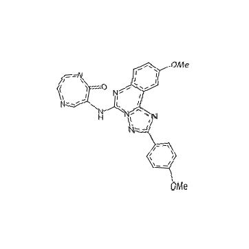 COc1ccc(-c2nc3c4cc(OC)ccc4nc(Nc4cnccnc4=O)n3n2)cc1